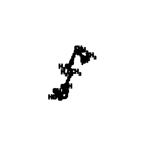 CCCC(OCCCO[C@@H](C)[C@@H](C)CCC/C=C/C=C/OCCN(C)CCC(C)(C)SSCCCCCCNC(=O)CC/C1=C/N([C@H]2C[C@H](O)[C@@H](CO)O2)C(=O)CCCCC1=O)(C(F)(F)F)C(F)(F)F